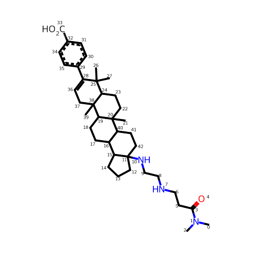 CN(C)C(=O)CCNCCNC12CCCC1C1CCC3C(C)(CCC4C(C)(C)C(c5ccc(C(=O)O)cc5)=CCC43C)C1CC2